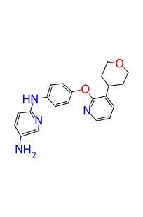 Nc1ccc(Nc2ccc(Oc3ncccc3C3CCOCC3)cc2)nc1